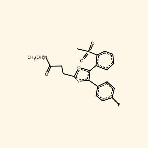 CN(O)C(=O)CCc1nc(-c2ccc(F)cc2)c(-c2ccccc2S(C)(=O)=O)o1